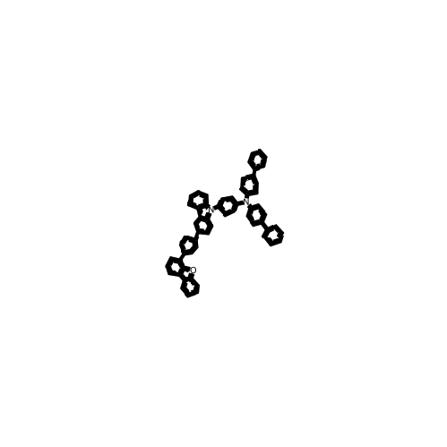 c1ccc(-c2ccc(N(c3ccc(-c4ccccc4)cc3)c3ccc(-n4c5ccccc5c5cc(-c6ccc(-c7cccc8c7oc7ccccc78)cc6)ccc54)cc3)cc2)cc1